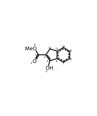 COC(=O)C1=C(O)c2ccccc2C1